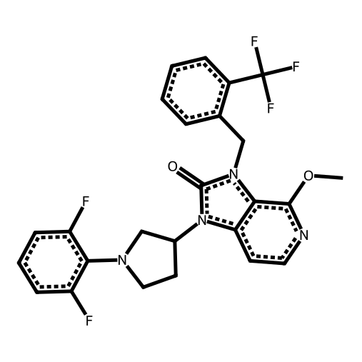 COc1nccc2c1n(Cc1ccccc1C(F)(F)F)c(=O)n2C1CCN(c2c(F)cccc2F)C1